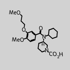 COCCCOc1cc(C(=O)N(C2CCCCC2)[C@@H]2CCCN(C(=O)O)C2)ccc1OC